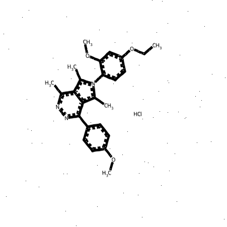 CCOc1ccc(-n2c(C)c3c(C)nnc(-c4ccc(OC)cc4)c3c2C)c(OC)c1.Cl